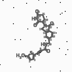 Cc1ccc(C#CC(=O)NCc2ccc3c(c2)CN(C2CCC(=O)NC2=O)C3=O)s1